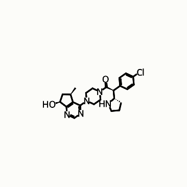 C[C@@H]1C[C@H](O)c2ncnc(N3CCN(C(=O)[C@@H](c4ccc(Cl)cc4)[C@@H]4CCCN4)CC3)c21